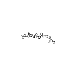 C=CC(=O)OCC1CC2C3CC(CC3C(C)(C)OC(=O)c3cccc(C(=O)OCC4CC5C6CC(C5C4)C(C(C)(CCC)OC=O)C6)c3)[C@H]2C1